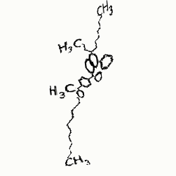 CCCCCCCCCCCCOC(C)c1ccc(C(=O)Oc2ccccc2OC(CCC)CCCCCCCC)cc1